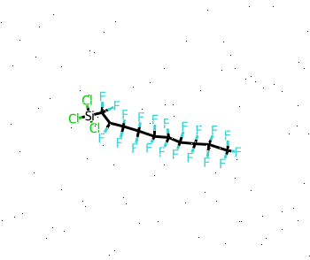 FC(C(F)(F)C(F)(F)C(F)(F)C(F)(F)C(F)(F)C(F)(F)C(F)(F)C(F)(F)F)C(F)(F)[Si](Cl)(Cl)Cl